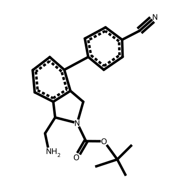 CC(C)(C)OC(=O)N1Cc2c(-c3ccc(C#N)cc3)cccc2C1CN